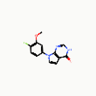 COc1cc(-n2ccc3c(=O)[nH]cnc32)ccc1F